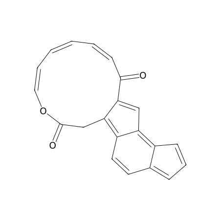 O=C1CC2=c3ccc4c(c3C=C2C(=O)C=CC=CC=CO1)C=CC=4